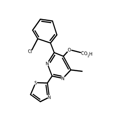 Cc1nc(-c2nccs2)nc(-c2ccccc2Cl)c1OC(=O)O